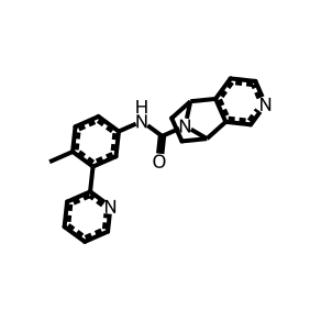 Cc1ccc(NC(=O)N2C3CCC2c2cnccc23)cc1-c1ccccn1